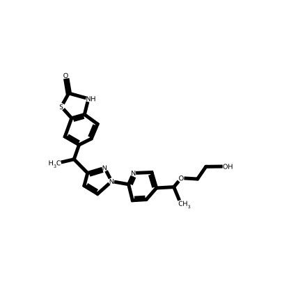 CC(OCCO)c1ccc(-n2ccc(C(C)c3ccc4[nH]c(=O)sc4c3)n2)nc1